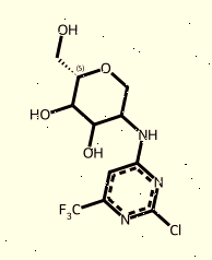 OC[C@@H]1OCC(Nc2cc(C(F)(F)F)nc(Cl)n2)C(O)C1O